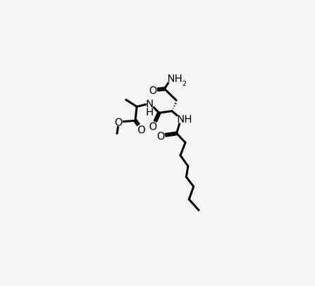 CCCCCCCC(=O)N[C@@H](CC(N)=O)C(=O)NC(C)C(=O)OC